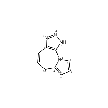 C1=Cc2nn[nH]c2-n2cccc2C1